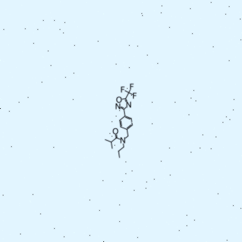 CCCN(Cc1ccc(-c2noc(C(F)(F)F)n2)cc1)C(=O)C(C)C